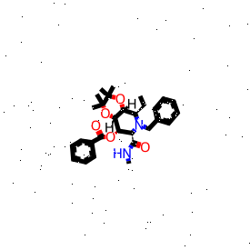 CC[C@@H]1[C@H]2OC(C)(C)C(C)(C)O[C@@H]2[C@H](OC(=O)c2ccccc2)[C@@H](C(=O)NC)N1Cc1ccccc1